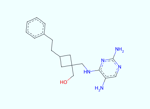 Nc1ncc(N)c(NCC2(CO)CC(CCc3ccccc3)C2)n1